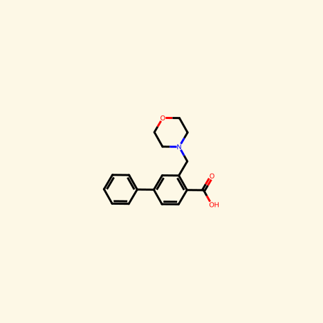 O=C(O)c1ccc(-c2ccccc2)cc1CN1CCOCC1